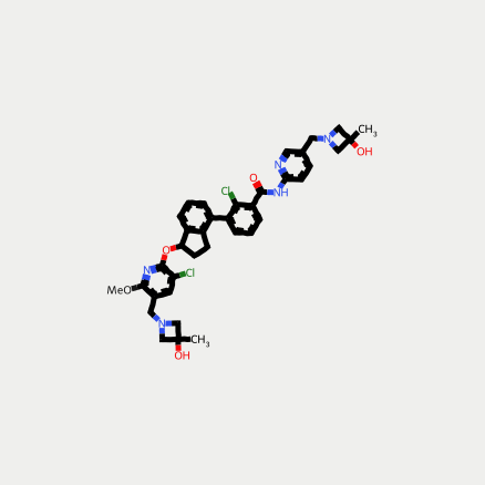 COc1nc(OC2CCc3c(-c4cccc(C(=O)Nc5ccc(CN6CC(C)(O)C6)cn5)c4Cl)cccc32)c(Cl)cc1CN1CC(C)(O)C1